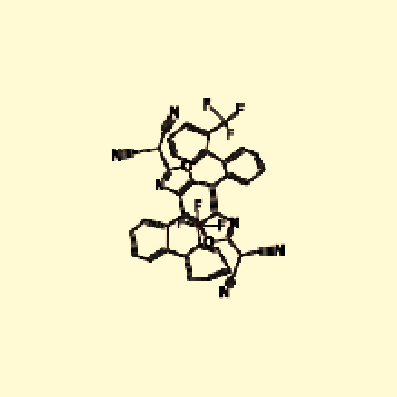 N#CC(C#N)c1nc2c(-c3ccccc3-c3ccccc3C(F)(F)F)c3oc(C(C#N)C#N)nc3c(-c3ccccc3-c3ccccc3C(F)(F)F)c2o1